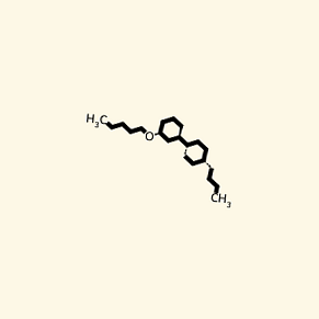 CCCCCO[C@@H]1CCC[C@@H]([C@H]2CC[C@@H](CCCC)CC2)C1